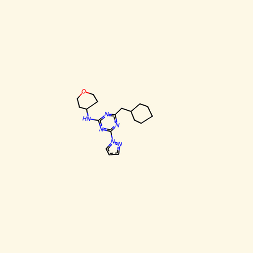 c1cnn(-c2nc(CC3CCCCC3)nc(NC3CCOCC3)n2)c1